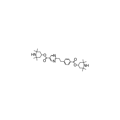 CC1(C)CC(OC(=O)c2ccc(CCc3ncc(C(=O)OC4CC(C)(C)NC(C)(C)C4)cn3)cc2)CC(C)(C)N1